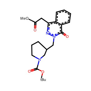 COC(=O)Cc1nn(CC2CCCN(C(=O)OC(C)(C)C)C2)c(=O)c2ccccc12